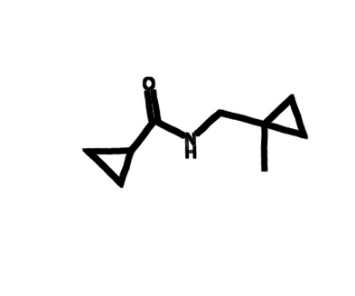 CC1(CNC(=O)C2CC2)CC1